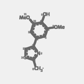 [CH2]c1nc(-c2cc(OC)c(O)c(OC)c2)cs1